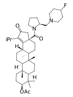 CC(=O)O[C@H]1CC[C@]2(C)[C@H]3CC[C@@H]4C5=C(C(C)C)C(=O)C[C@]5(C(=O)N5CCC[C@H]5CN5CCC(F)CC5)CC[C@@]4(C)[C@]3(C)CC[C@H]2C1(C)C